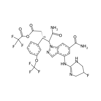 NC(=O)c1cc(NC2=NCC(F)CN2)c2cnn(C(C(N)=O)[C@@H](CC(=O)OC(=O)C(F)(F)F)c3cccc(OC(F)(F)F)c3)c2c1